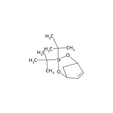 CC(C)(C)[Si]1(C(C)(C)C)OC2C=CC(C2)O1